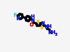 NCCNc1nc2sc(C(=O)Nc3ccc(-c4ccc(F)nc4)cc3)cc2s1